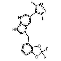 Cc1noc(C)c1-c1cnc2[nH]cc(Cc3cccc4c3OC(F)(F)O4)c2c1